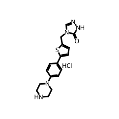 Cl.O=c1[nH]ncn1Cc1ccc(-c2ccc(N3CCNCC3)cc2)s1